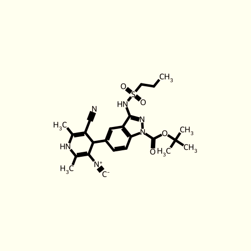 [C-]#[N+]C1=C(C)NC(C)=C(C#N)C1c1ccc2c(c1)c(NS(=O)(=O)CCC)nn2C(=O)OC(C)(C)C